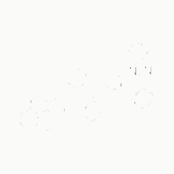 c1ccc(-c2nc3ccccc3n2-c2ccc(-c3c4ccccc4c(-c4cc5ccc6cccc7ccc(c4)c5c67)c4ccccc34)cc2)cc1